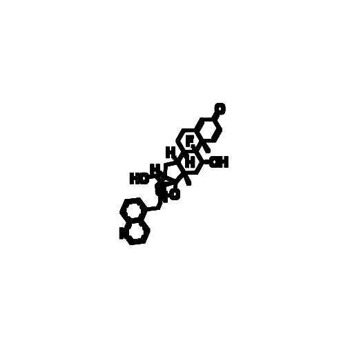 C[C@]12C=CC(=O)C=C1CC[C@H]1[C@@H]3C[C@H]4CN(Cc5cccc6ncccc56)O[C@@]4(C(=O)CO)[C@@]3(C)C[C@H](O)[C@@]12F